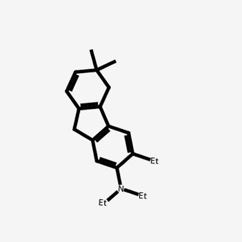 CCc1cc2c(cc1N(CC)CC)CC1=C2CC(C)(C)C=C1